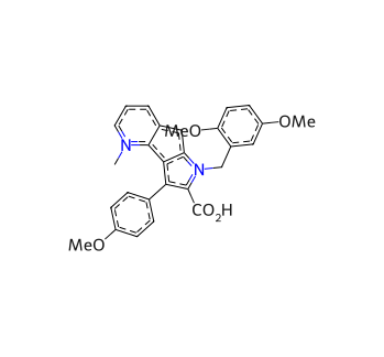 COc1ccc(-c2c(C(=O)O)n(Cc3cc(OC)ccc3OC)c3cc4cccn(C)c-4c23)cc1